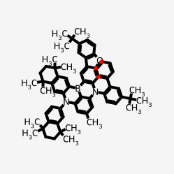 Cc1cc2c3c(c1)N(c1ccc(C(C)(C)C)cc1-c1ccccc1)c1cc4oc5ccc(C(C)(C)C)cc5c4cc1B3c1cc3c(cc1N2c1ccc2c(c1)C(C)(C)CCC2(C)C)C(C)(C)CCC3(C)C